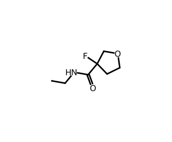 CCNC(=O)C1(F)CCOC1